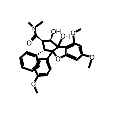 COc1ccc(C23Oc4cc(OC)cc(OC)c4C2(O)[C@H](O)[C@H](C(=O)N(C)C)[C@H]3c2ccccc2)cc1